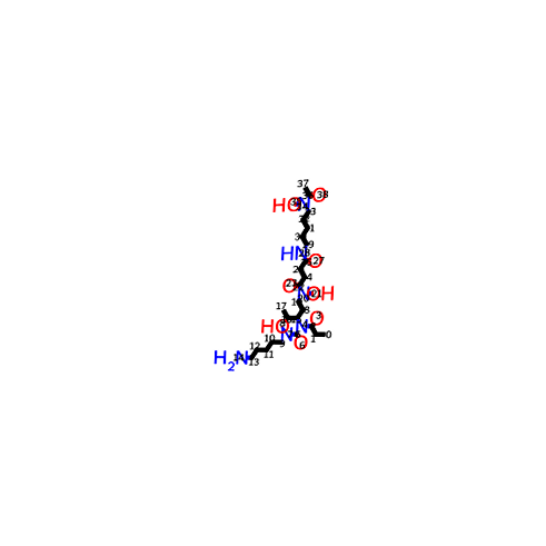 CCC(=O)N(C(=O)N(O)CCCCCN)C(CC)CCN(O)C(=O)CCC(=O)NCCCCCN(O)C(C)=O